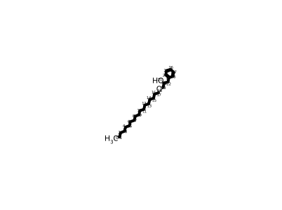 CCCCCCCCCCCCCCCCCCOC[C@@H](O)Cc1ccccc1